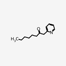 CCCCCCC(=O)Cc1ccccn1